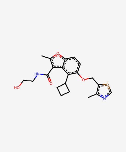 Cc1ncsc1COc1ccc2oc(C)c(C(=O)NCCO)c2c1C1CCC1